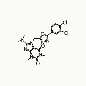 CN(C)c1nc2c(c(=O)n(C)c(=O)n2C)n1Cc1nnc(-c2ccc(Cl)c(Cl)c2)o1